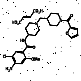 COc1cc(N)c(Cl)cc1C(=O)NC1CCN(CC2CCN(C(=O)c3ccco3)CC2)CC1.O=C(O)/C=C/C(=O)O